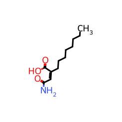 CCCCCCCCC(=CC(N)=O)C(=O)O